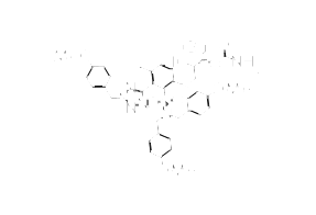 COc1ccc(CN(Cc2ccc(OC)cc2)S(=O)(=O)c2c(SCC(O)[C@@H](OC(N)=O)C(C)(C)C)ccc(I)c2-c2nnn(Cc3ccc(OC)cc3)n2)cc1